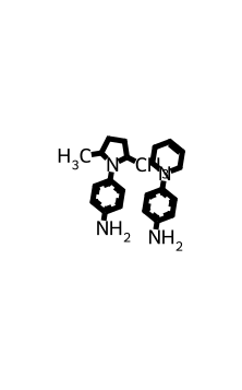 CC1CCC(C)N1c1ccc(N)cc1.Nc1ccc(N2CC=CCC2)cc1